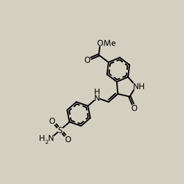 COC(=O)c1ccc2c(c1)/C(=C\Nc1ccc(S(N)(=O)=O)cc1)C(=O)N2